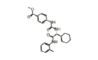 COC(=O)c1ccc(NC(=S)N[C@@H](C(=O)Nc2ccccc2C)C2CCCCC2)cc1